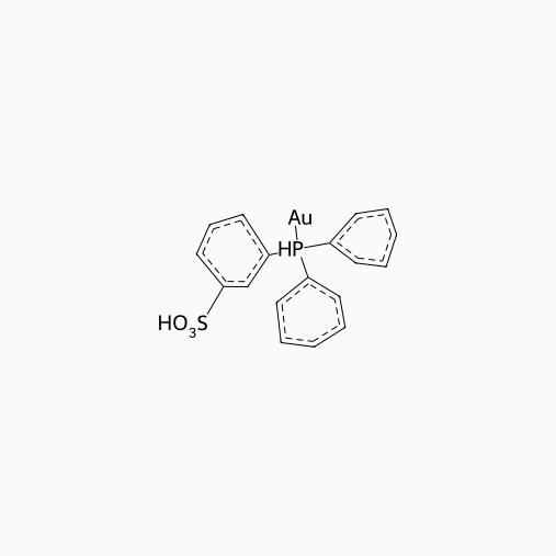 O=S(=O)(O)c1cccc([PH]([Au])(c2ccccc2)c2ccccc2)c1